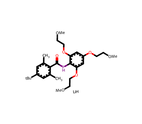 COCCOc1cc(OCCOC)c(PC(=O)c2c(C)cc(C(C)(C)C)cc2C)c(OCCOC)c1.[LiH]